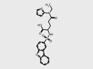 CCN(C(=O)CCC(NS(=O)(=O)c1ccc2oc3ccccc3c2c1)C(=O)O)c1cccs1